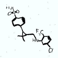 CC1(C)C(CNc2cc(Cl)ccc2C(F)(F)F)C1c1ccc(S(N)(=O)=O)cc1